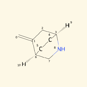 C=C1C[C@@H]2CC[C@H]1CN2